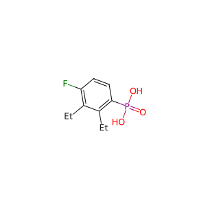 CCc1c(F)ccc(P(=O)(O)O)c1CC